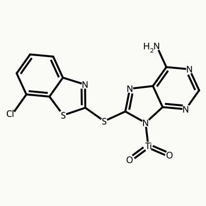 Nc1ncnc2c1nc(Sc1nc3cccc(Cl)c3s1)[n]2[Ti](=[O])=[O]